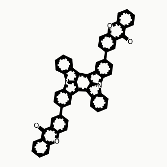 O=c1c2ccccc2oc2ccc(-c3ccc4c(c3)c3c5c6ccccc6n6c7ccc(-c8ccc9oc%10ccccc%10c(=O)c9c8)cc7c(c7c8ccccc8n4c73)c56)cc12